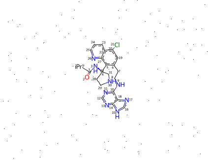 CC(C)C(=O)N[C@]1(c2c(CCNc3ncnc4[nH]cnc34)cc(Cl)c3cccnc23)CCNC1